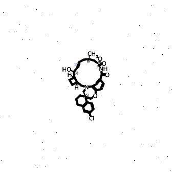 C[C@H]1C/C=C/[C@H](O)[C@@H]2CC[C@H]2CN2C[C@@]3(CCCc4cc(Cl)ccc43)COc3ccc(cc32)C(=O)NS(=O)(=O)C1